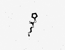 CSCCSC(=S)OC1CCCC1